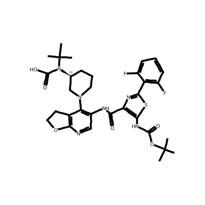 CC(C)(C)OC(=O)Nc1sc(-c2c(F)cccc2F)nc1C(=O)Nc1cnc2c(c1N1CCC[C@H](N(C(=O)O)C(C)(C)C)C1)CCO2